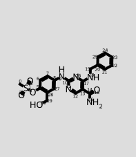 CS(=O)(=O)Oc1ccc(Nc2ncc(C(N)=O)c(NCc3ccccc3)n2)cc1CO